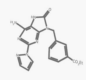 CCOC(=O)c1cccc(Cn2c(=O)[nH]c3c(N)nc(-n4cccn4)nc32)c1